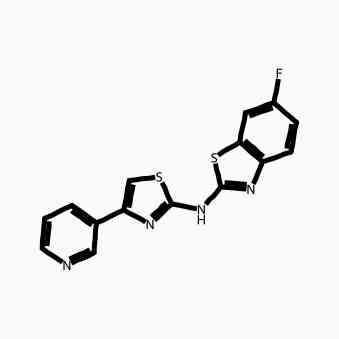 Fc1ccc2nc(Nc3nc(-c4cccnc4)cs3)sc2c1